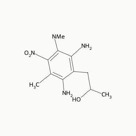 CNc1c(N)c(CC(C)O)c(N)c(C)c1[N+](=O)[O-]